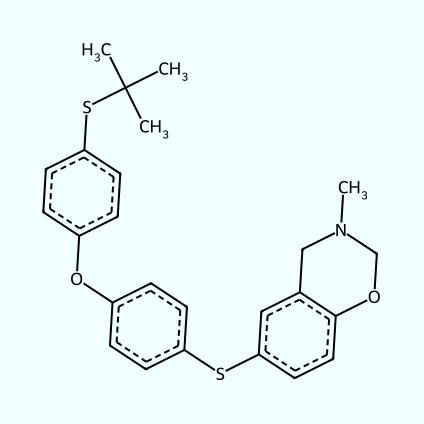 CN1COc2ccc(Sc3ccc(Oc4ccc(SC(C)(C)C)cc4)cc3)cc2C1